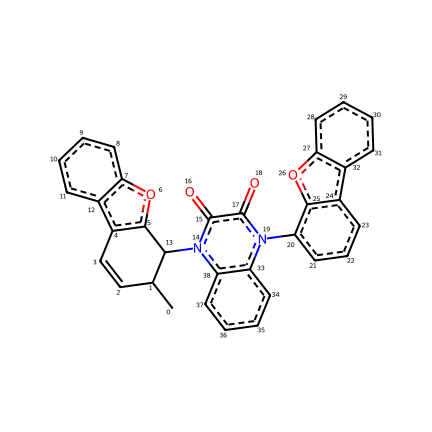 CC1C=Cc2c(oc3ccccc23)C1n1c(=O)c(=O)n(-c2cccc3c2oc2ccccc23)c2ccccc21